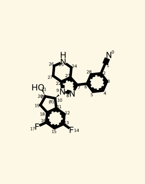 N#Cc1cccc(-c2nn([C@@H]3c4cc(F)cc(F)c4C[C@@H]3O)c3c2CNCC3)c1